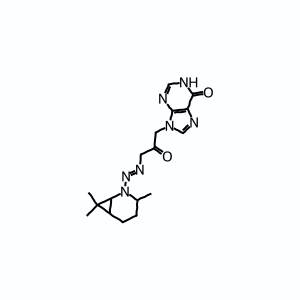 CC1CCC2C(N1N=NCC(=O)Cn1cnc3c(=O)[nH]cnc31)C2(C)C